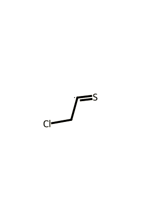 S=[C]CCl